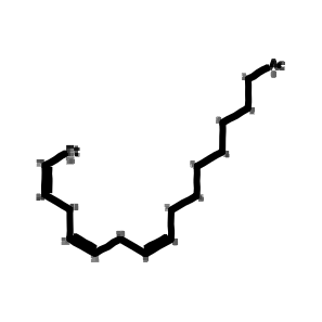 [CH]C(=O)CCCCCCC/C=C\C/C=C\C/C=C\CC